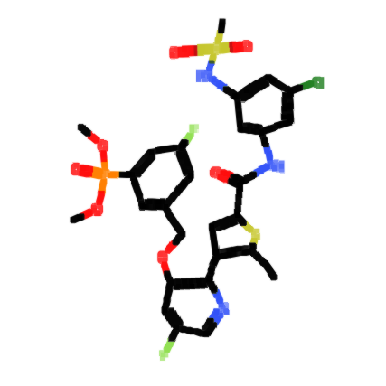 COP(=O)(OC)c1cc(F)cc(COc2cc(F)cnc2-c2cc(C(=O)Nc3cc(Cl)cc(NS(C)(=O)=O)c3)sc2C)c1